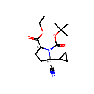 CCOC(=O)[C@@H]1CC[C@](C#N)(C2CC2)N1C(=O)OC(C)(C)C